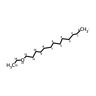 [CH2]CCCCCCCCCCCCOCC